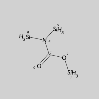 O=C(O[SiH3])N([SiH3])[SiH3]